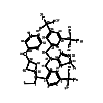 CCC(c1ccc(C(F)(F)F)cc1CN(Cc1cc(C(F)(F)F)cc(C(F)(F)F)c1)c1nnn(C)n1)N1CC(Oc2cccnc2)C1